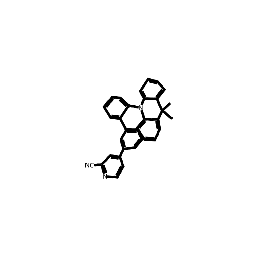 CC1(C)c2ccccc2N(c2ccccc2-c2cccc(-c3ccnc(C#N)c3)c2)c2ccccc21